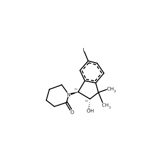 CC1(C)c2ccc(I)cc2[C@H](N2CCCCC2=O)[C@H]1O